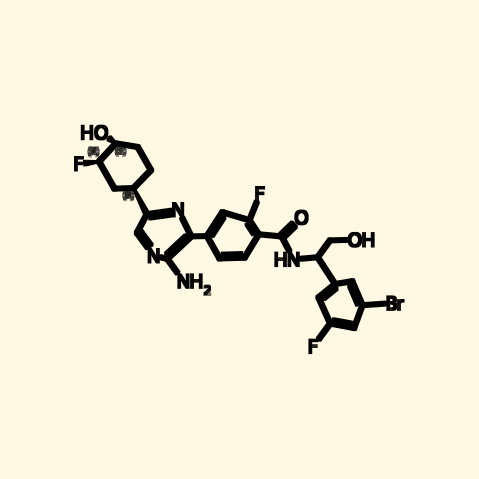 Nc1ncc([C@@H]2CC[C@H](O)[C@H](F)C2)nc1-c1ccc(C(=O)NC(CO)c2cc(F)cc(Br)c2)c(F)c1